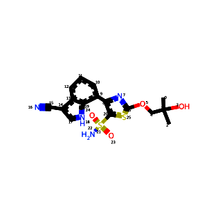 CC(C)(O)COc1nc(-c2cccc3c(C#N)c[nH]c23)c(S(N)(=O)=O)s1